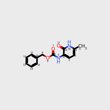 Cc1ccc(NC(=O)OCc2ccccc2)c(=O)[nH]1